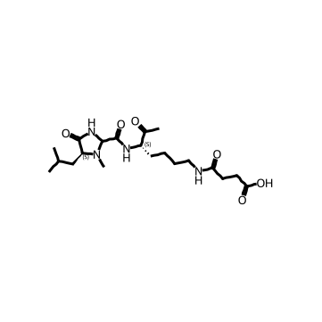 CC(=O)[C@H](CCCCNC(=O)CCC(=O)O)NC(=O)C1NC(=O)[C@H](CC(C)C)N1C